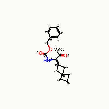 COC(=O)C(NC(=O)OCc1ccccc1)=C1CC2(CCC2)C1